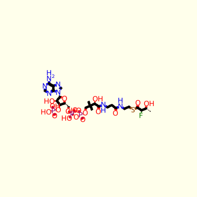 C[C@@H](O)[C@H](F)C(=O)SCCNC(=O)CCNC(=O)[C@H](O)C(C)(C)COP(=O)(O)OP(=O)(O)OC[C@H]1O[C@@H](n2cnc3c(N)ncnc32)[C@H](O)[C@@H]1OP(=O)(O)O